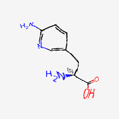 Nc1ccc(C[C@H](N)C(=O)O)cn1